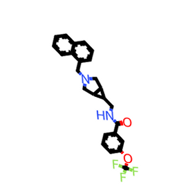 O=C(NCC1C2CN(Cc3cccc4ccccc34)CC12)c1cccc(OC(F)(F)F)c1